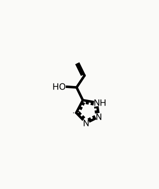 C=CC(O)c1[c]nn[nH]1